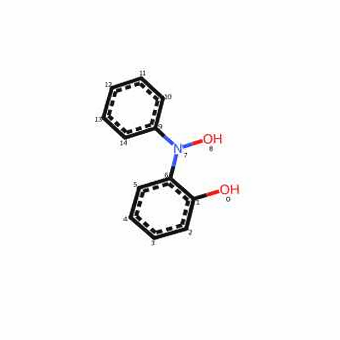 Oc1ccccc1N(O)c1ccccc1